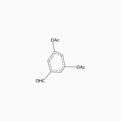 CC(=O)Oc1cc(C=O)cc(OC(C)=O)c1